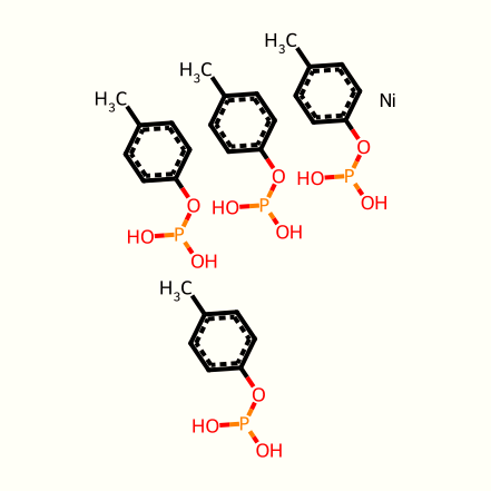 Cc1ccc(OP(O)O)cc1.Cc1ccc(OP(O)O)cc1.Cc1ccc(OP(O)O)cc1.Cc1ccc(OP(O)O)cc1.[Ni]